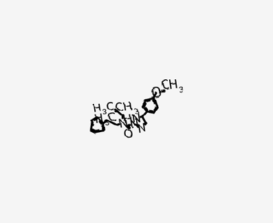 CCOc1ccc(C2C=NN(C(=O)N(CCc3ccccc3)CC(C)(C)C)N2)cc1